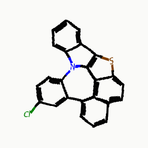 Clc1ccc2c(c1)c1cccc3ccc4sc5c6ccccc6n2c5c4c31